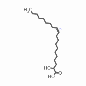 CCCCCCCC/C=C\CCCCCCCCC(O)C(=O)O